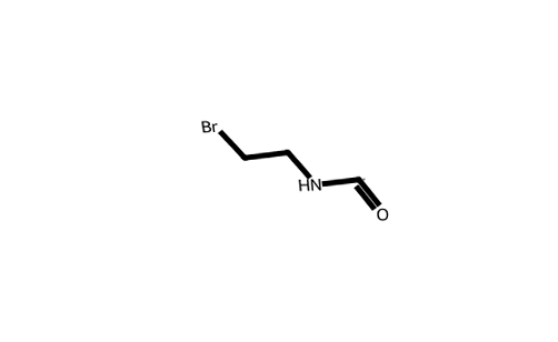 O=[C]NCCBr